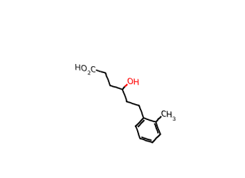 Cc1ccccc1CCC(O)CCC(=O)O